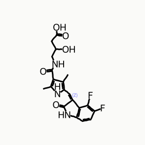 Cc1[nH]c(/C=C2\C(=O)Nc3ccc(F)c(F)c32)c(C)c1C(=O)NCC(O)CC(=O)O